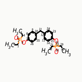 CCP(=O)(CC)Oc1ccc(Cc2ccc(OP(=O)(CC)CC)cc2)cc1